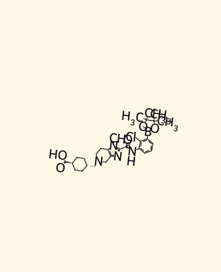 Cn1c(C(=O)Nc2cccc(B3OC(C)(C)C(C)(C)O3)c2Cl)nc2c1CCN(C[C@H]1CC[C@H](C(=O)O)CC1)C2